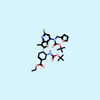 CCOC(=O)C1=CC[C@H](c2sc3c(N(Cc4cccs4)C(=O)OC(C)(C)C)cc(Cl)nc3c2C)[C@@H](NC(=O)OC(C)(C)C)C1